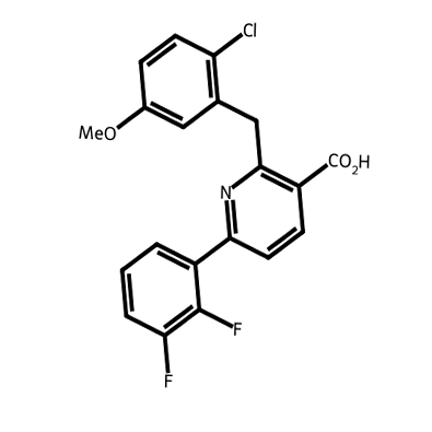 COc1ccc(Cl)c(Cc2nc(-c3cccc(F)c3F)ccc2C(=O)O)c1